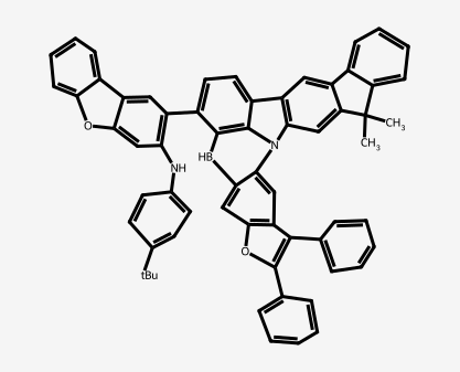 CC(C)(C)c1ccc(Nc2cc3oc4ccccc4c3cc2-c2ccc3c4cc5c(cc4n4c3c2Bc2cc3oc(-c6ccccc6)c(-c6ccccc6)c3cc2-4)C(C)(C)c2ccccc2-5)cc1